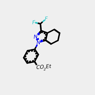 CCOC(=O)c1cccc(-n2nc(C(F)F)c3c2CCCC3)c1